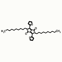 CCCCCCCCCCN1C(=O)C2=C(c3cccs3)N(CCCCCCCCCC)C(=O)C2=C1c1cccs1